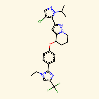 CCn1cc(C(F)(F)F)nc1-c1ccc(OC2CCCn3nc(-c4c(Cl)cnn4C(C)C)cc32)cc1